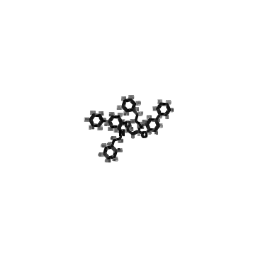 C(=C1Oc2ccc(-c3ccccc3)cc2N1CCc1ccccc1)c1oc2ccc(-c3ccccc3)cc2[n+]1CCc1ccccc1